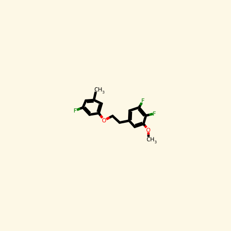 COc1cc(CCOc2cc(C)cc(F)c2)cc(F)c1F